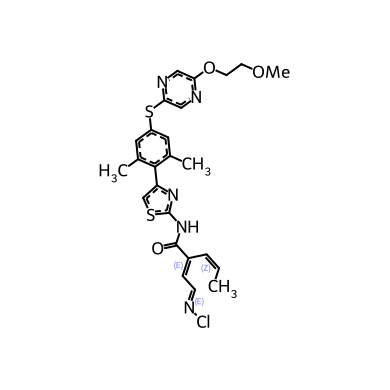 C\C=C/C(=C\C=N\Cl)C(=O)Nc1nc(-c2c(C)cc(Sc3cnc(OCCOC)cn3)cc2C)cs1